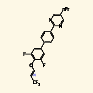 CCCc1cnc(-c2ccc(-c3cc(F)c(O/C=C/C(F)(F)F)c(F)c3)cc2)nc1